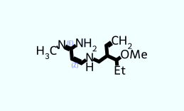 C=CC(CN/C=C\C(N)=N/C)C(CC)OC